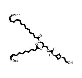 CCCCC/C=C\C/C=C\CCCCCCCC(=O)OCC(COC(=O)NC1CN(CCO)C1)OC(=O)CCCCCCC/C=C\CCCCCCCC